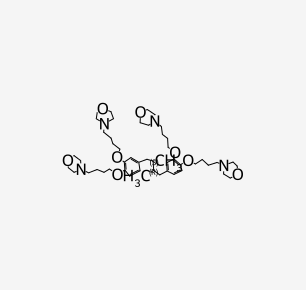 C[C@H](Cc1ccc(OCCCCN2CCOCC2)c(OCCCCN2CCOCC2)c1)[C@@H](C)Cc1ccc(OCCCCN2CCOCC2)c(OCCCCN2CCOCC2)c1